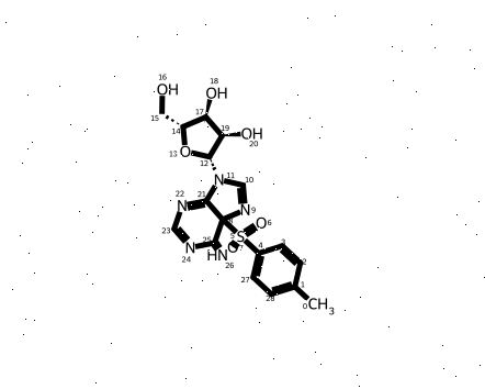 Cc1ccc(S(=O)(=O)C23N=CN([C@@H]4O[C@H](CO)[C@@H](O)[C@H]4O)C2=NC=NC3=N)cc1